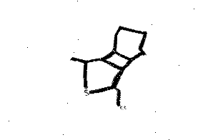 CC[C@H]1SC(C)C2C3CCCC3C21